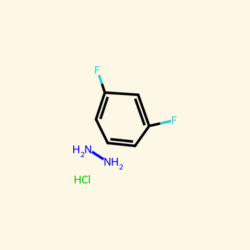 Cl.Fc1cccc(F)c1.NN